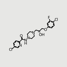 O=C(NN1CCN(C[C@@H](O)COc2ccc(Cl)c(F)c2)CC1)c1ccc(Cl)cn1